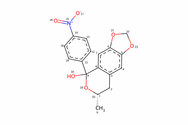 C[C@H]1Cc2cc3c(cc2C(O)(c2ccc([N+](=O)[O-])cc2)O1)OCO3